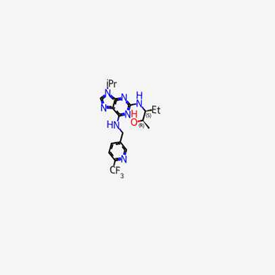 CC[C@H](Nc1nc(NCc2ccc(C(F)(F)F)nc2)c2ncn(C(C)C)c2n1)[C@@H](C)O